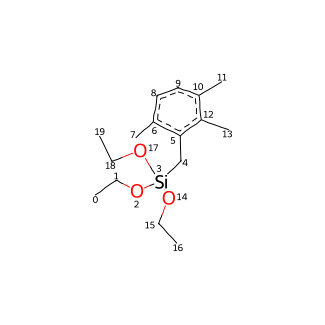 CCO[Si](Cc1c(C)ccc(C)c1C)(OCC)OCC